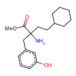 COC(=O)C(N)(CCC1CCCCC1)Cc1cccc(O)c1